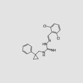 N=C(NCC1(c2ccccc2)CC1)N/N=C/c1c(Cl)cccc1Cl